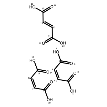 O=C(O)/C=C\C(=O)O.O=C(O)/C=C\C(=O)O.O=C(O)C=CC(=O)O